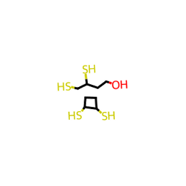 OCCC(S)CS.SC1CCC1S